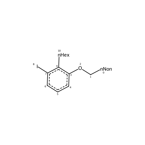 CCCCCCCCCCOc1cccc(I)c1CCCCCC